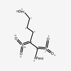 CCCCCCCCCCCCCC(C(CCCCC)=S(=O)=O)=S(=O)=O